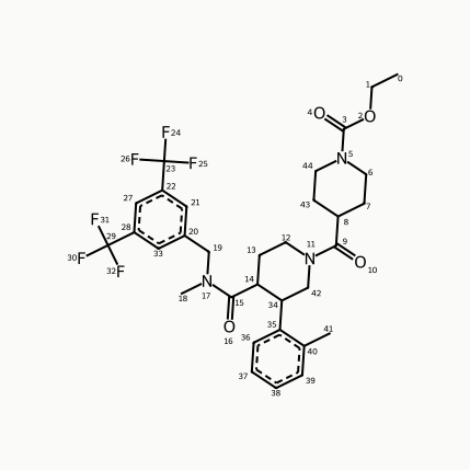 CCOC(=O)N1CCC(C(=O)N2CCC(C(=O)N(C)Cc3cc(C(F)(F)F)cc(C(F)(F)F)c3)C(c3ccccc3C)C2)CC1